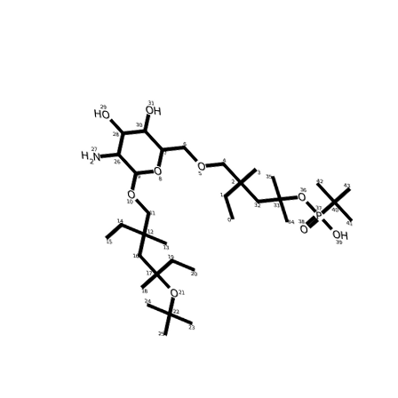 CCC(C)(COCC1OC(OCC(C)(CC)CC(C)(CC)OC(C)(C)C)C(N)C(O)C1O)CC(C)(C)OP(=O)(O)C(C)(C)C